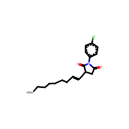 CCCCCCCCCCCCCCCCC=CC1CC(=O)N(c2c[c]c(Cl)cc2)C1=O